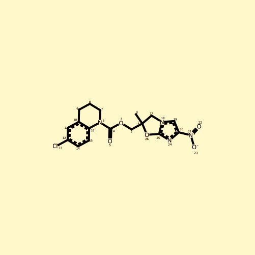 CC1(COC(=O)N2CCCc3cc(Cl)ccc32)Cn2cc([N+](=O)[O-])nc2O1